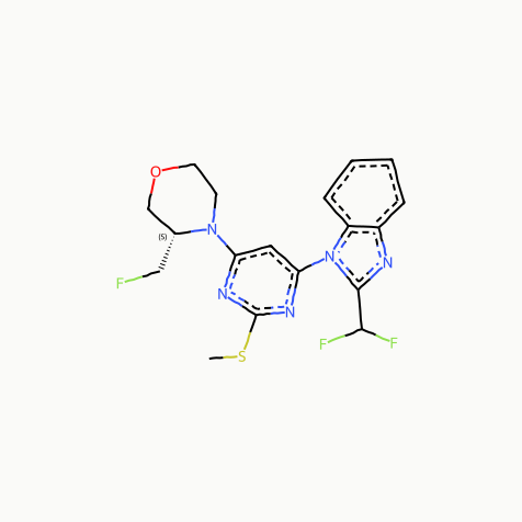 CSc1nc(N2CCOC[C@H]2CF)cc(-n2c(C(F)F)nc3ccccc32)n1